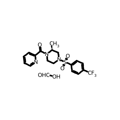 C[C@H]1CN(S(=O)(=O)c2ccc(C(F)(F)F)cc2)CCN1C(=O)c1ccccn1.O=CO